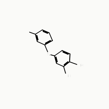 Cc1cc(Nc2cccc(C(F)(F)F)c2)ccc1C=O